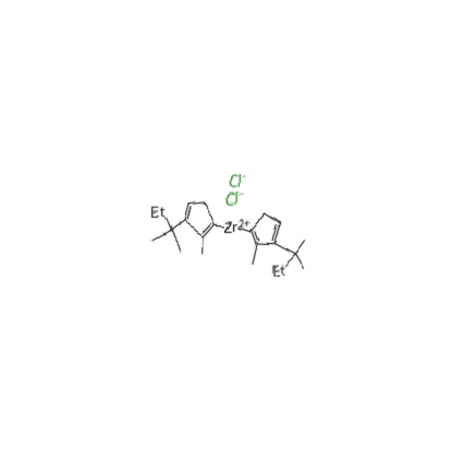 CCC(C)(C)C1=CC[C]([Zr+2][C]2=C(C)C(C(C)(C)CC)=CC2)=C1C.[Cl-].[Cl-]